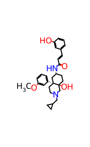 COc1cccc([C@@]23CCN(CC4CC4)C[C@@]2(O)CC[C@@H](NC(=O)C=Cc2cccc(O)c2)C3)c1